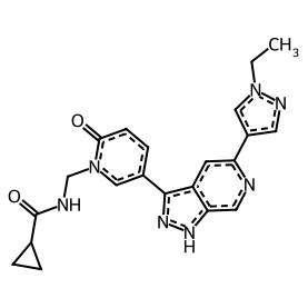 CCn1cc(-c2cc3c(-c4ccc(=O)n(CNC(=O)C5CC5)c4)n[nH]c3cn2)cn1